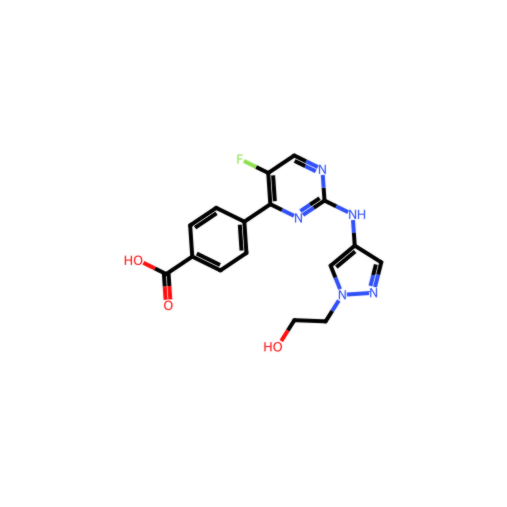 O=C(O)c1ccc(-c2nc(Nc3cnn(CCO)c3)ncc2F)cc1